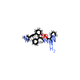 C[C@H](NC(=O)c1c(N)nn2ccccc12)c1oc2cccc(C#Cc3cnn(C)c3)c2c1-c1ccccc1